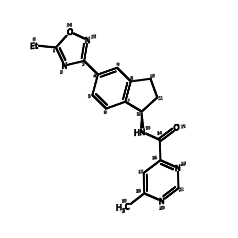 CCc1nc(-c2ccc3c(c2)CC[C@H]3NC(=O)c2cc(C)ncn2)no1